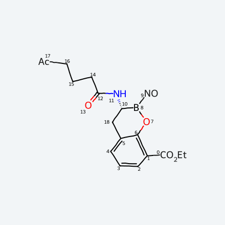 CCOC(=O)c1cccc2c1OB(N=O)[C@@H](NC(=O)CCCC(C)=O)C2